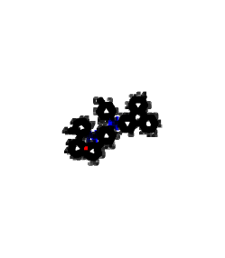 Cc1ccc(N(c2ccc3c4c(c5ccccc5c3c2)C=CCC4)c2ccc3c4ccccc4n(C4=C(c5ccccc5)C(C)CC=C4)c3c2)cc1